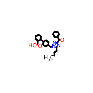 CCC=Cc1nc(C(=O)c2ccccc2)nn1Cc1ccc(-c2ccccc2C(=O)O)cc1